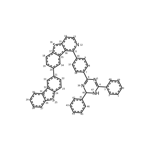 c1ccc(C2=NC(c3ccc(-c4nccc5sc6ccc(-c7ccc8sc9ccccc9c8c7)cc6c45)cc3)=NC(c3ccccc3)N2)cc1